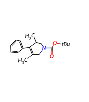 CC1=C(c2ccccc2)C(C)CN(C(=O)OC(C)(C)C)C1